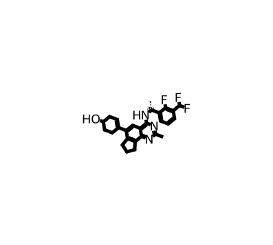 Cc1nc(N[C@H](C)c2cccc(C(F)F)c2F)c2cc(C3=CCC(O)CC3)c3c(c2n1)CCC3